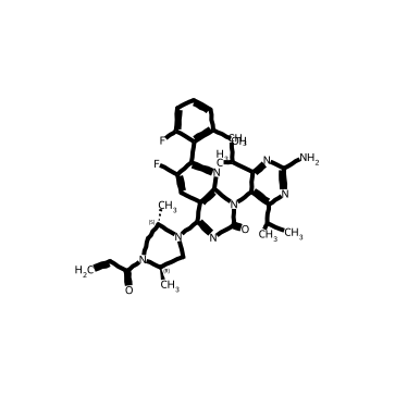 C=CC(=O)N1C[C@H](C)N(c2nc(=O)n(-c3c(C(C)C)nc(N)nc3C(C)C)c3nc(-c4c(O)cccc4F)c(F)cc23)C[C@H]1C